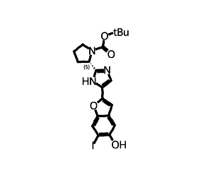 CC(C)(C)OC(=O)N1CCC[C@H]1c1ncc(-c2cc3cc(O)c(I)cc3o2)[nH]1